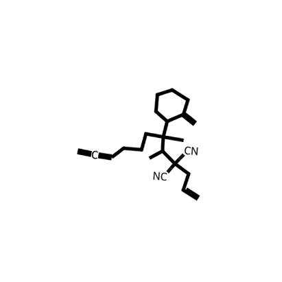 C=C=CCCCC(C)(C1CCCCC1=C)C(C)C(C#N)(C#N)CC=C